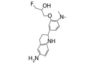 CN(C)c1ccc(C2CCc3cc(N)ccc3N2)cc1OCC(O)CF